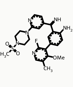 COc1c(C)cnc(F)c1-c1ccc(N)c(C(=N)c2ccnc(N3CCN(S(C)(=O)=O)CC3)c2)c1